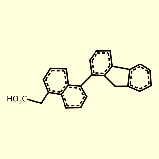 O=C(O)Cc1cccc2c(-c3cccc4c3Cc3ccccc3-4)cccc12